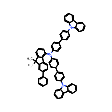 CC1(C)c2cc(-c3ccccc3)ccc2-c2c(N(C3=CCC(c4ccc(-n5c6ccccc6c6ccccc65)cc4)C=C3)c3ccc(-c4ccc(-n5c6ccccc6c6ccccc65)cc4)cc3)cccc21